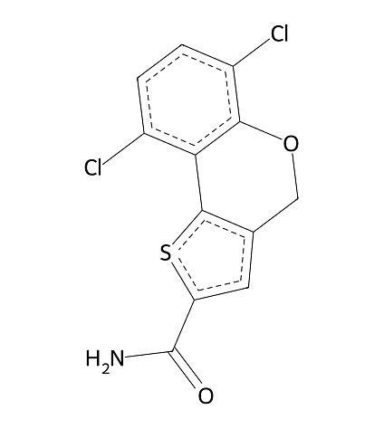 NC(=O)c1cc2c(s1)-c1c(Cl)ccc(Cl)c1OC2